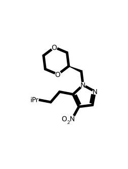 CC(C)CCc1c([N+](=O)[O-])cnn1C[C@@H]1COCCO1